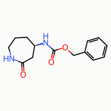 O=C1C[C@H](NC(=O)OCc2ccccc2)CCCN1